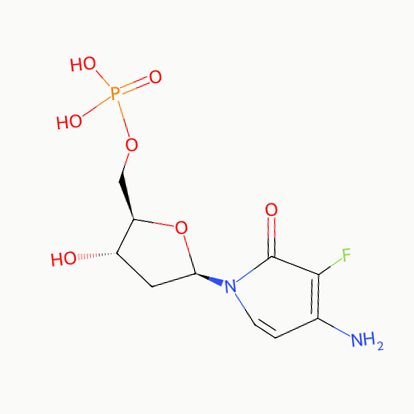 Nc1ccn([C@H]2C[C@H](O)[C@@H](COP(=O)(O)O)O2)c(=O)c1F